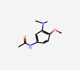 COc1ccc(NC(C)=O)cc1N(C)C